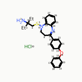 CCC(N)(CC)CSN1CCC(c2ccc(Oc3ccccc3)cc2)=Nc2ccccc21.Cl